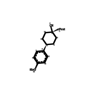 CCCCC[C@]1(C#N)CC[C@H](c2ccc(OC)cc2)CC1